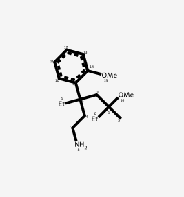 CCC(C)(CC(CC)(CCN)c1ccccc1OC)OC